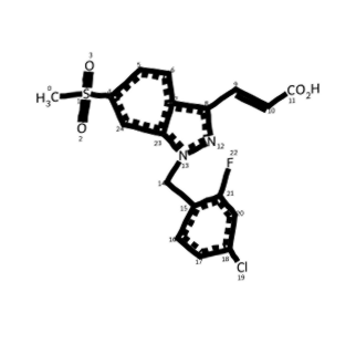 CS(=O)(=O)c1ccc2c(/C=C/C(=O)O)nn(Cc3ccc(Cl)cc3F)c2c1